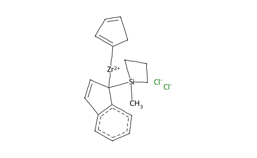 C[Si]1([C]2([Zr+2][C]3=CC=CC3)C=Cc3ccccc32)CCC1.[Cl-].[Cl-]